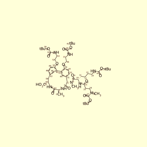 C[C@@H]1NC(=O)[C@@H](N(C)C(=O)[C@H](CCCCNC(=O)OC(C)(C)C)NC(=O)CCN(C)C(=O)OC(C)(C)C)c2ccc(OCCNC(=O)OC(C)(C)C)c(c2)-c2cc(ccc2OCCNC(=O)OC(C)(C)C)C[C@@H](C(=O)O)NC1=O